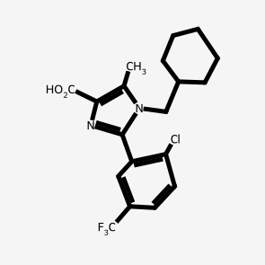 Cc1c(C(=O)O)nc(-c2cc(C(F)(F)F)ccc2Cl)n1CC1CCCCC1